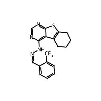 FC(F)(F)c1ccccc1/C=N\Nc1ncnc2sc3c(c12)CCCC3